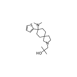 CN(C)C1(c2cccs2)CCC2(CCN(CC(C)(C)O)C2)CC1